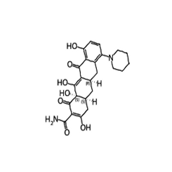 NC(=O)C1=C(O)C[C@@H]2C[C@@H]3Cc4c(N5CCCCC5)ccc(O)c4C(=O)C3=C(O)[C@]2(O)C1=O